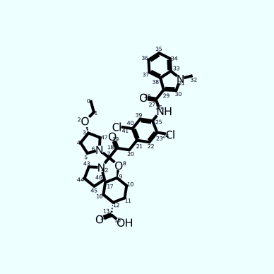 CCO[C@H]1CCN(C(O[C@H]2CC[C@H](C(=O)O)CC2)(C(=O)Cc2cc(Cl)c(NC(=O)c3cn(C)c4ccccc34)cc2Cl)N2CCCC2)C1